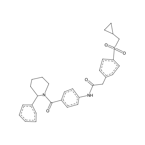 O=C(Cc1ccc(S(=O)(=O)CC2CC2)cc1)Nc1ccc(C(=O)N2CCCCC2c2ccccc2)cc1